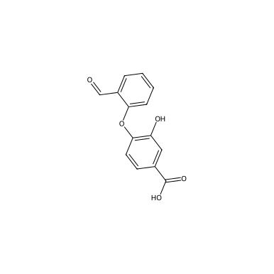 O=Cc1ccccc1Oc1ccc(C(=O)O)cc1O